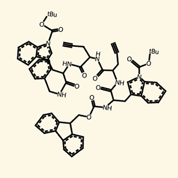 C#CCC(NC(=O)C(Cc1cn(C(=O)OC(C)(C)C)c2ccccc12)NC(=O)OCC1c2ccccc2-c2ccccc21)C(=O)NC(CC#C)C(=O)NC(Cc1cn(C(=O)OC(C)(C)C)c2ccccc12)C(=O)NCc1ccccc1